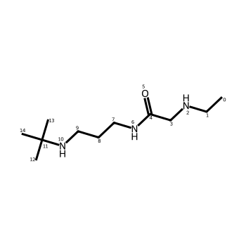 CCNCC(=O)NCCCNC(C)(C)C